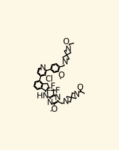 COc1cc(-c2nccc(-c3cccc4c3CCC4Nc3nc(OC)c(CN4CC5(C4)CN(C(C)=O)C5)nc3C(F)(F)F)c2Cl)ccc1CN1CC2(C1)CN(C(C)=O)C2